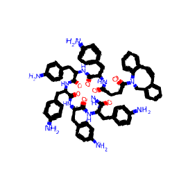 NC(=O)C(Cc1ccc(N)cc1)NC(=O)C(Cc1ccc(N)cc1)NC(=O)C(Cc1ccc(N)cc1)NC(=O)C(Cc1ccc(N)cc1)NC(=O)C(Cc1ccc(N)cc1)NC(=O)CCC(=O)N1Cc2ccccc2C#Cc2ccccc21